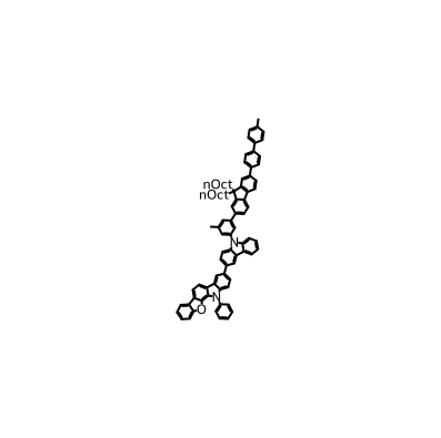 CCCCCCCCC1(CCCCCCCC)c2cc(-c3ccc(-c4ccc(C)cc4)cc3)ccc2-c2ccc(-c3cc(C)cc(-n4c5ccccc5c5cc(-c6ccc7c(c6)c6ccc8c9ccccc9oc8c6n7-c6ccccc6)ccc54)c3)cc21